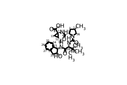 C[C@@H]1C[C@@H](C(=O)N[C@]2(C(=O)O)C[C@H]2I)N(C(=O)N[C@H](C(=O)N[C@H]2c3ccccc3C[C@H]2O)C(C)(C)C)C1